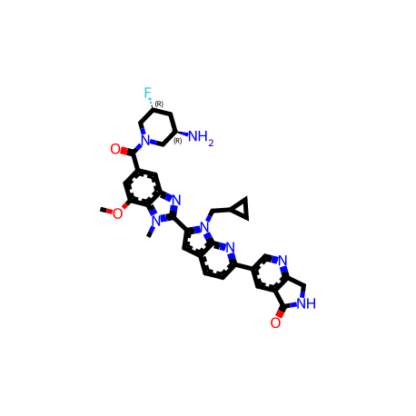 COc1cc(C(=O)N2C[C@H](N)C[C@@H](F)C2)cc2nc(-c3cc4ccc(-c5cnc6c(c5)C(=O)NC6)nc4n3CC3CC3)n(C)c12